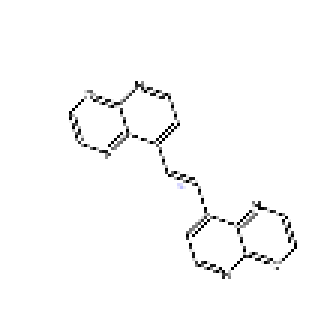 C(=C\c1ccnc2nccnc12)/c1ccnc2nccnc12